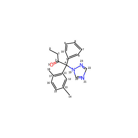 CCC(=O)C(c1ccccc1)(c1cc(C)ccc1C)n1cncn1